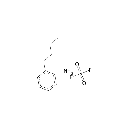 CCCCc1ccccc1.N.O=S(=O)(F)F